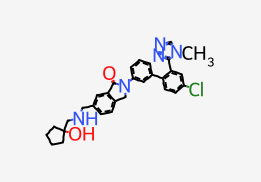 Cn1cnnc1-c1cc(Cl)ccc1-c1cccc(N2Cc3ccc(CNCC4(O)CCCC4)cc3C2=O)c1